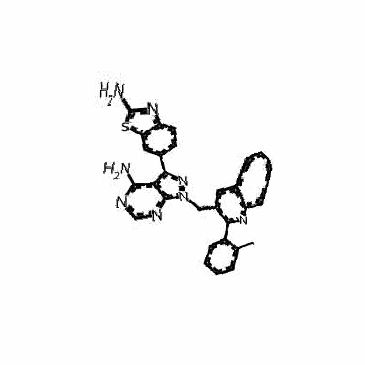 Cc1ccccc1-c1nc2ccccc2cc1Cn1nc(-c2ccc3nc(N)sc3c2)c2c(N)ncnc21